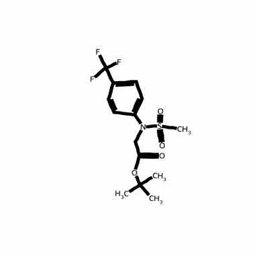 CC(C)(C)OC(=O)CN(c1ccc(C(F)(F)F)cc1)S(C)(=O)=O